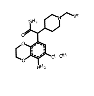 CC(C)CN1CCC(C(C(N)=O)c2cc(Cl)c(N)c3c2OCCO3)CC1.Cl